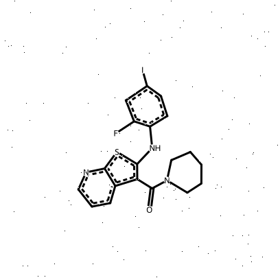 O=C(c1c(Nc2ccc(I)cc2F)sc2ncccc12)N1CCCCC1